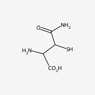 NC(=O)C(S)C(N)C(=O)O